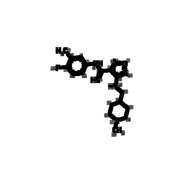 Cc1cc(NC(=N)c2nonc2NCC2CCN(C)CC2)ccc1F